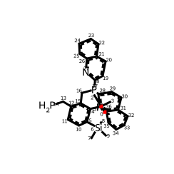 CC(C)(C)c1c([Si](C)(C)C)ccc(CP)c1CP(c1ccc2ccccc2n1)c1ccc2ccccc2n1